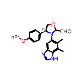 CCCOc1ccc([C@H]2COC(C=O)N2c2cc3nc[nH]c3c(C)c2C)cc1